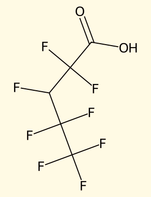 O=C(O)C(F)(F)C(F)C(F)(F)C(F)(F)F